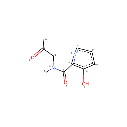 CC(=O)CN(C)C(=O)c1ncccc1O